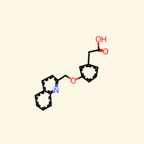 O=C(O)Cc1cccc(OCc2ccc3ccccc3n2)c1